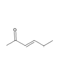 C[CH]C=CC(C)=O